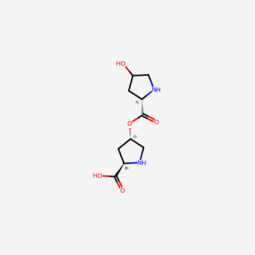 O=C(O[C@@H]1CN[C@@H](C(=O)O)C1)[C@@H]1CC(O)CN1